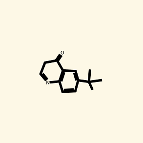 CC(C)(C)c1ccc2c(c1)C(=O)CC=N2